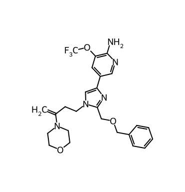 C=C(CCn1cc(-c2cnc(N)c(OC(F)(F)F)c2)nc1COCc1ccccc1)N1CCOCC1